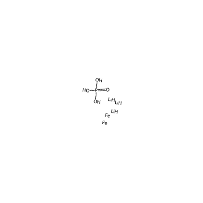 O=P(O)(O)O.[Fe].[Fe].[LiH].[LiH].[LiH]